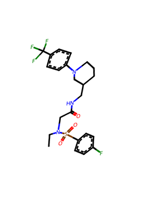 CCN(CC(=O)NCC1CCCN(c2ccc(C(F)(F)F)cc2)C1)S(=O)(=O)c1ccc(F)cc1